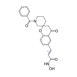 O=C(/C=C/c1ccc2c(c1)C(=O)CC1(CCCN(C(=O)c3ccccc3)C1)O2)NO